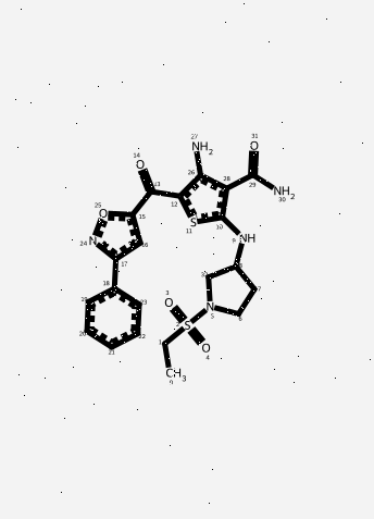 CCS(=O)(=O)N1CCC(Nc2sc(C(=O)c3cc(-c4ccccc4)no3)c(N)c2C(N)=O)C1